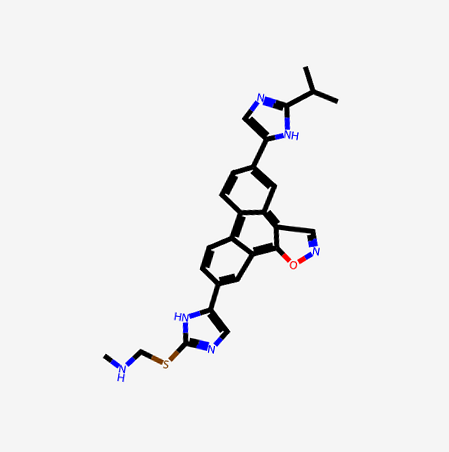 CNCSc1ncc(-c2ccc3c4ccc(-c5cnc(C(C)C)[nH]5)cc4c4cnoc4c3c2)[nH]1